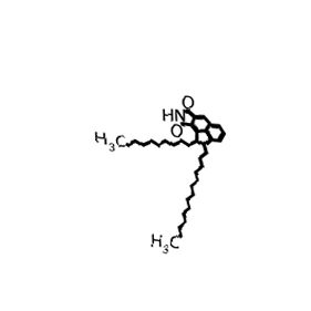 CCCCCCCCCCCCCCC1c2cccc3cc4c(c(c23)C1CCCCCCCCCC)C(=O)NC4=O